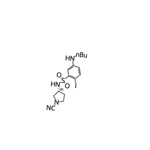 CCCCNc1ccc(I)c(S(=O)(=O)N[C@@H]2CCN(C#N)C2)c1